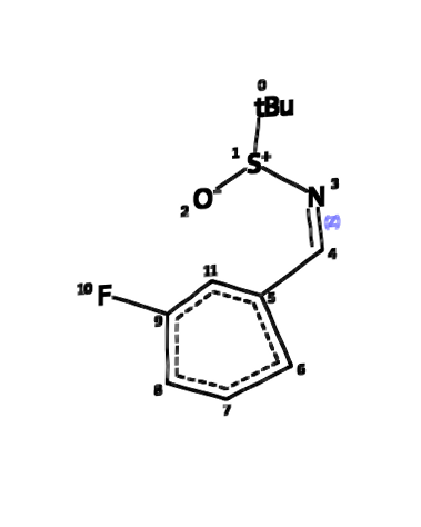 CC(C)(C)[S+]([O-])/N=C\c1cccc(F)c1